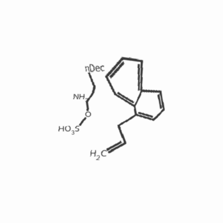 C=CCc1cccc2ccccc12.CCCCCCCCCCCCOS(=O)(=O)O.N